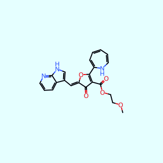 COCCOC(=O)C1=C(C2=CC=CC=CN2)OC(=Cc2c[nH]c3ncccc23)C1=O